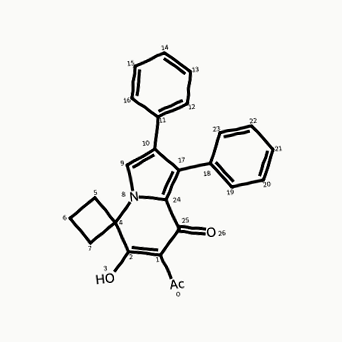 CC(=O)C1=C(O)C2(CCC2)n2cc(-c3ccccc3)c(-c3ccccc3)c2C1=O